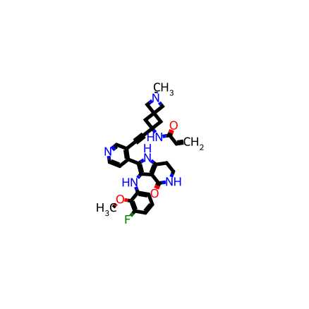 C=CC(=O)NC1(C#Cc2cnccc2-c2[nH]c3c(c2Nc2cccc(F)c2OC)C(=O)NCC3)CC2(CN(C)C2)C1